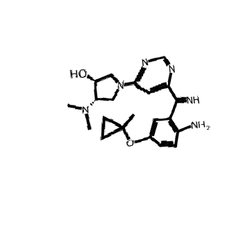 CN(C)[C@H]1CN(c2cc(C(=N)c3cc(OC4(C)CC4)ccc3N)ncn2)C[C@@H]1O